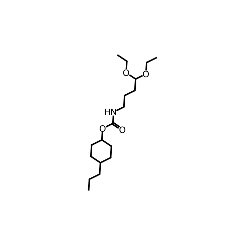 CCCC1CCC(OC(=O)NCCCC(OCC)OCC)CC1